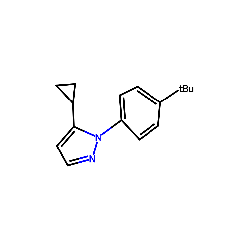 CC(C)(C)c1ccc(-n2nccc2C2CC2)cc1